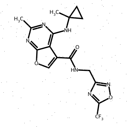 Cc1nc(NC2(C)CC2)c2c(C(=O)NCc3noc(C(F)(F)F)n3)coc2n1